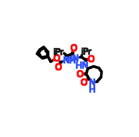 CC(C)C(NC(=O)OCc1ccccc1)C(=O)NC(C(=O)NC1CCCCCNC(=O)C1=O)C(C)C